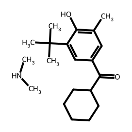 CNC.Cc1cc(C(=O)C2CCCCC2)cc(C(C)(C)C)c1O